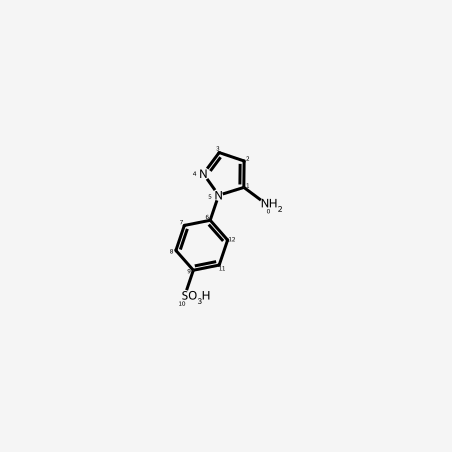 Nc1ccnn1-c1ccc(S(=O)(=O)O)cc1